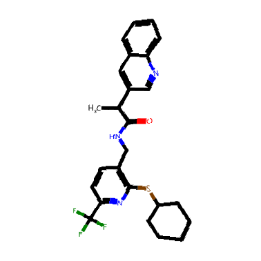 CC(C(=O)NCc1ccc(C(F)(F)F)nc1SC1CCCCC1)c1cnc2ccccc2c1